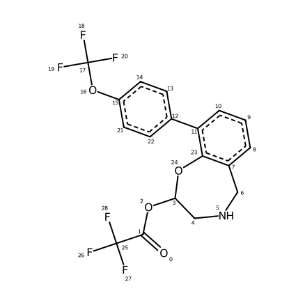 O=C(OC1CNCc2cccc(-c3ccc(OC(F)(F)F)cc3)c2O1)C(F)(F)F